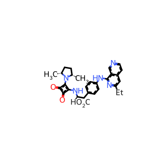 CCc1cc2ccncc2c(Nc2ccc(C[C@H](Nc3c(N4[C@H](C)CC[C@@H]4C)c(=O)c3=O)C(=O)O)cc2)n1